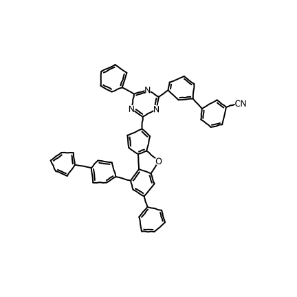 N#Cc1cccc(-c2cccc(-c3nc(-c4ccccc4)nc(-c4ccc5c(c4)oc4cc(-c6ccccc6)cc(-c6ccc(-c7ccccc7)cc6)c45)n3)c2)c1